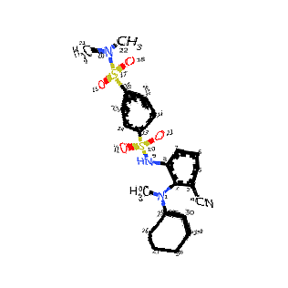 CN(c1c(C#N)cccc1NS(=O)(=O)c1ccc(S(=O)(=O)N(C)C)cc1)C1CCCCC1